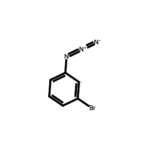 [N-]=[N+]=Nc1[c]c(Br)ccc1